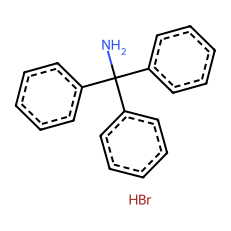 Br.NC(c1ccccc1)(c1ccccc1)c1ccccc1